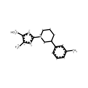 Cc1cccc(C2CCCN(c3nc(C(F)(F)F)c(C(=O)O)o3)C2)c1